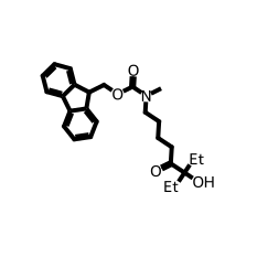 CCC(O)(CC)C(=O)CCCCN(C)C(=O)OCC1c2ccccc2-c2ccccc21